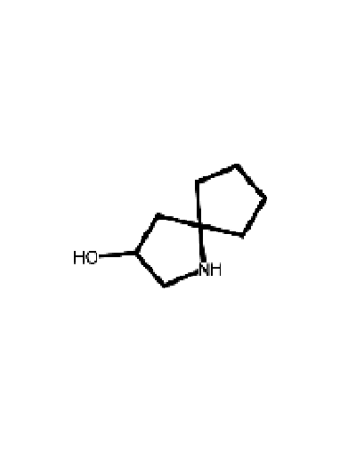 OC1CNC2(CCCC2)C1